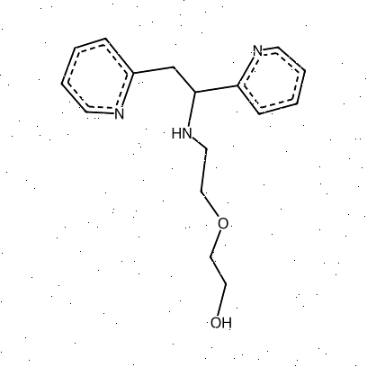 OCCOCCNC(Cc1ccccn1)c1ccccn1